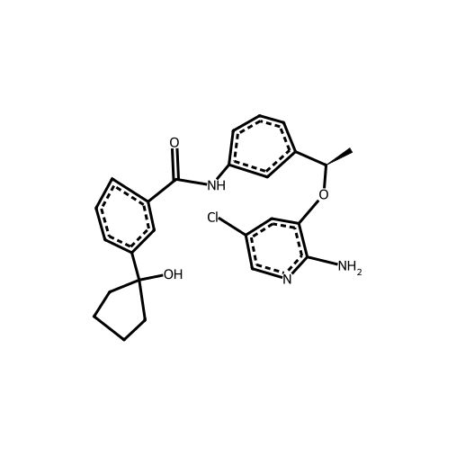 C[C@@H](Oc1cc(Cl)cnc1N)c1cccc(NC(=O)c2cccc(C3(O)CCCC3)c2)c1